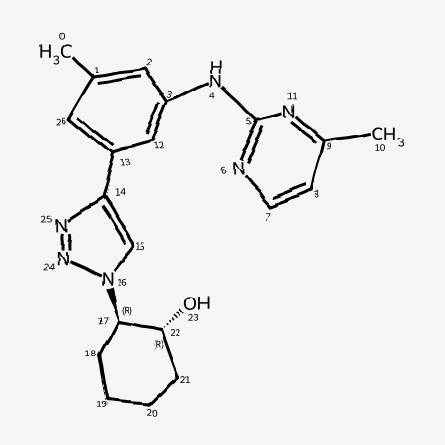 Cc1cc(Nc2nccc(C)n2)cc(-c2cn([C@@H]3CCCC[C@H]3O)nn2)c1